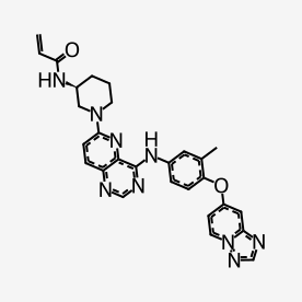 C=CC(=O)N[C@H]1CCCN(c2ccc3ncnc(Nc4ccc(Oc5ccn6ncnc6c5)c(C)c4)c3n2)C1